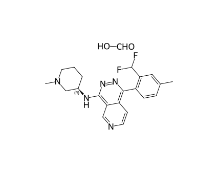 Cc1ccc(-c2nnc(N[C@@H]3CCCN(C)C3)c3cnccc23)c(C(F)F)c1.O=CO